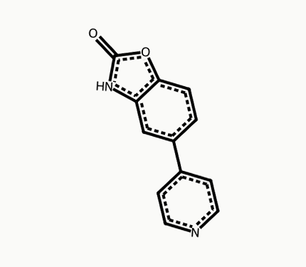 O=c1[nH]c2cc(-c3ccncc3)ccc2o1